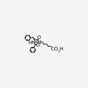 O=C(O)CCCCCNC(=O)C(=Cc1ccccc1)NC(=O)c1ccccc1